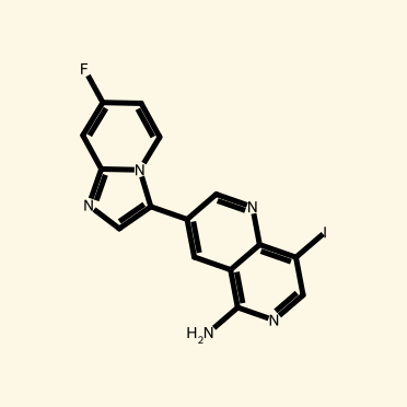 Nc1ncc(I)c2ncc(-c3cnc4cc(F)ccn34)cc12